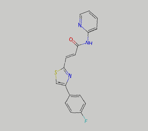 O=C(C=Cc1nc(-c2ccc(F)cc2)cs1)Nc1ccccn1